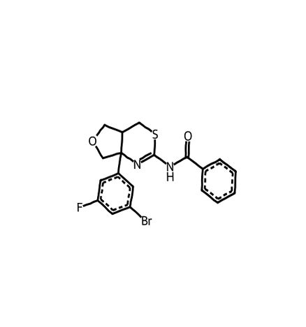 O=C(NC1=NC2(c3cc(F)cc(Br)c3)COCC2CS1)c1ccccc1